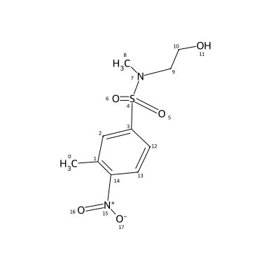 Cc1cc(S(=O)(=O)N(C)CCO)ccc1[N+](=O)[O-]